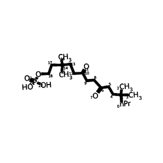 CCCC(C)(C)CCC(=O)CCC(=O)CCC(C)(C)CCOP(=O)(O)O